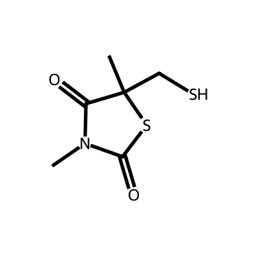 CN1C(=O)SC(C)(CS)C1=O